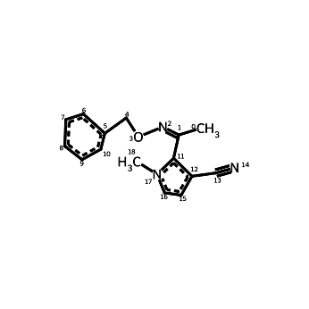 CC(=NOCc1ccccc1)c1c(C#N)ccn1C